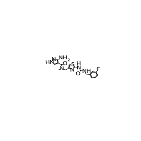 CN(Cc1csc(NC(=O)NCc2cccc(F)c2)n1)C(=O)c1c[nH]nc1N